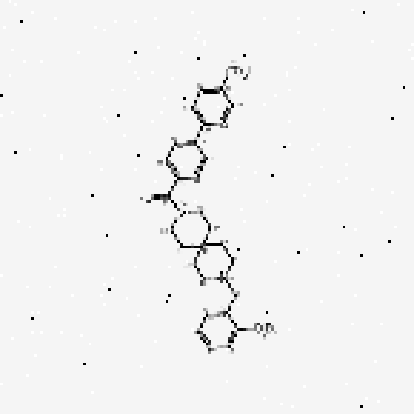 CC(C)COc1ccccc1CN1CCC2(CC1)CCN(C(=O)c1ccc(-c3ccc(C(=O)O)cc3)cc1)CC2